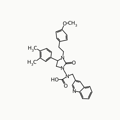 COc1ccc(CCN2C(=O)N(N(Cc3cnc4ccccc4c3)C(=O)O)CC2c2ccc(C)c(C)c2)cc1